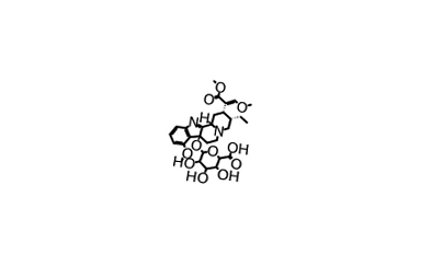 CC[C@@H]1CN2CC[C@@]3(OC4OC(C(=O)O)C(O)C(O)C4O)C(=Nc4cccc(OC)c43)[C@@H]2C[C@@H]1/C(=C\OC)C(=O)OC